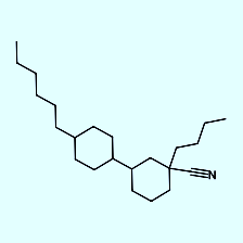 CCCCCCC1CCC(C2CCCC(C#N)(CCCC)C2)CC1